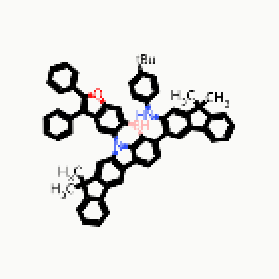 CC(C)(C)c1ccc(Nc2cc3c(cc2-c2ccc4c5cc6c(cc5n5c4c2Bc2cc4oc(-c7ccccc7)c(-c7ccccc7)c4cc2-5)C(C)(C)c2ccccc2-6)-c2ccccc2C3(C)C)cc1